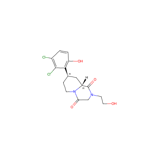 O=C1[C@H]2C[C@H](c3c(O)ccc(Cl)c3Cl)CCN2C(=O)CN1CCO